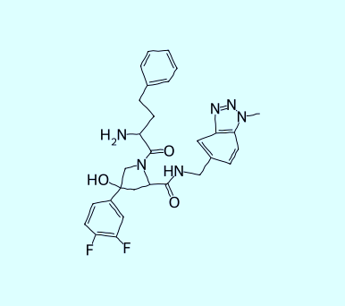 Cn1nnc2cc(CNC(=O)C3CC(O)(c4ccc(F)c(F)c4)CN3C(=O)C(N)CCc3ccccc3)ccc21